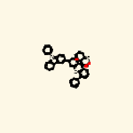 C1=CCCC(N2C3=C(C=CCC3)C3C=C(C4C=CC5C(C4)SC4C(C6=CCCC=C6)CC=CC4C54c5ccccc5SC5C=CC=CC54)C=CC32)=C1